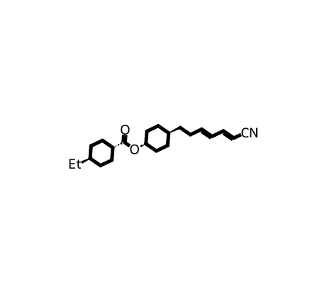 CC[C@H]1CC[C@H](C(=O)O[C@H]2CC[C@H](CCC=CC=CC#N)CC2)CC1